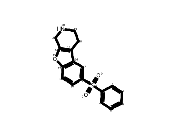 O=S(=O)(c1ccccc1)c1ccc2oc3c(c2c1)CCNC3